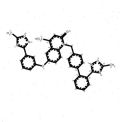 Cc1nc(-c2cccc(Oc3ccc4c(c3)c(C(=O)O)cc(=O)n4Cc3ccc(-c4ccccc4-c4noc(C)n4)cc3)c2)no1